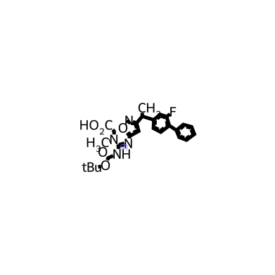 CC(c1ccc(-c2ccccc2)c(F)c1)c1cc(/N=C(/NC(=O)OC(C)(C)C)N(C)CC(=O)O)on1